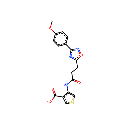 COc1ccc(-c2noc(CCC(=O)Nc3cscc3C(=O)O)n2)cc1